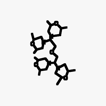 CC1CN(C(COCC(N2CC(C)OC(C)C2)N2CC(C)OC(C)C2)N2CC(C)OC(C)C2)CC(C)O1